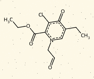 CCOC(=O)c1c(Cl)c(=O)c(CC)cn1CC=O